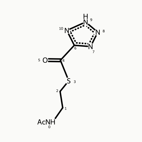 CC(=O)NCCSC(=O)c1nn[nH]n1